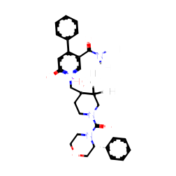 CN(C)C(=O)c1cn(C[C@]2(O)CCN(C(=O)N3CCOC[C@H]3c3ccccc3)CC2(C)C)c(=O)cc1-c1ccccc1